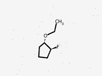 CCO[C@H]1CCC[C@@H]1F